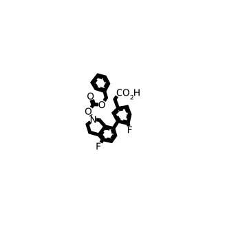 O=C(O)Cc1ccc(F)c(-c2ccc(F)c3c2CN(OC(=O)OCc2ccccc2)CC3)c1